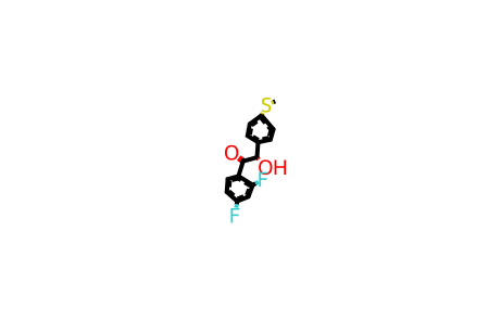 CSc1ccc(C(O)C(=O)c2ccc(F)cc2F)cc1